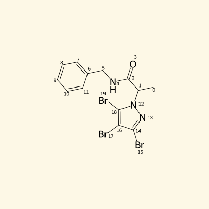 CC(C(=O)NCc1ccccc1)n1nc(Br)c(Br)c1Br